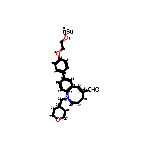 CCCCOCCOc1ccc(-c2ccc3c(c2)/C=C(/C=O)CCCN3CC2CCOCC2)cc1